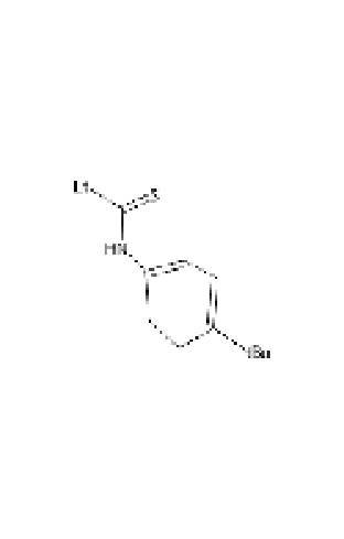 CCC(=S)NC1=CC=C(C(C)(C)C)CC1